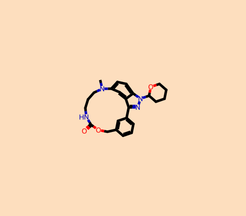 CN1CCCNC(=O)OCc2cccc(c2)-c2nn(C3CCCCO3)c3ccc1cc23